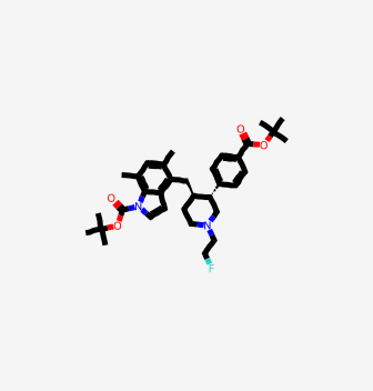 Cc1cc(C)c2c(ccn2C(=O)OC(C)(C)C)c1C[C@@H]1CCN(CCF)C[C@H]1c1ccc(C(=O)OC(C)(C)C)cc1